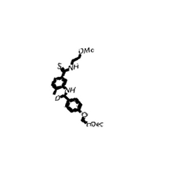 CCCCCCCCCCCOc1ccc(C(=O)Nc2cc(C(=S)NCCOC)ccc2C)cc1